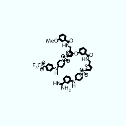 COc1cccc(C(=O)NCc2ccc(S(=O)(=O)N3CCC(Nc4ccc(S(=O)(=O)C(F)(F)F)cc4)CC3)s2)c1.COc1cccc(C(=O)NCc2ccc(S(=O)(=O)N3CCC(Nc4cccc(C(=N)N)c4)CC3)s2)c1